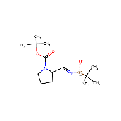 CC(C)(C)OC(=O)N1CCCC1C=N[S@+]([O-])C(C)(C)C